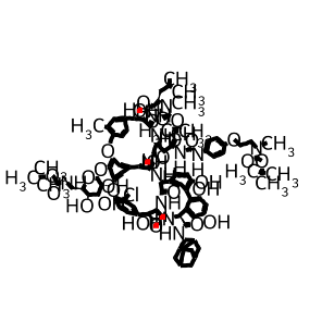 Cc1cc2ccc1Oc1cc3cc(c1O[C@@H]1O[C@H](CNC(=O)OC(C)(C)C)[C@@H](O)[C@H](O)[C@H]1O)Oc1ccc(cc1Cl)[C@@H](O)[C@@H]1NC(=O)[C@H](NC(=O)[C@@H]3NC(=O)[C@H](CC(=O)NC(=O)Nc3ccc(OCCN(C)C(=O)OC(C)(C)C)cc3)NC(=O)[C@H](NC(=O)[C@@H](CC(C)C)N(C)C(=O)OC(C)(C)C)[C@@H]2O)c2ccc(O)c(c2)-c2c(O)cc(O)cc2[C@@H](C(=O)NC2C3CC4CC(C3)CC2C4)NC1=O